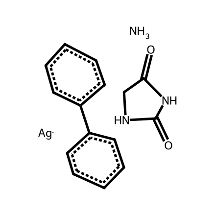 N.O=C1CNC(=O)N1.[Ag].c1ccc(-c2ccccc2)cc1